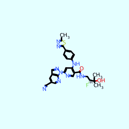 Cc1nnc(-c2ccc(Nc3cc(-n4ncc5cc(C#N)cnc54)ncc3C(=O)NC[C@@H](F)C(C)(C)O)cc2)s1